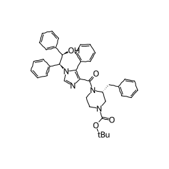 CC(C)(C)OC(=O)N1CCN(C(=O)c2ncn([C@@H](c3ccccc3)[C@H](O)c3ccccc3)c2-c2ccccc2)[C@H](Cc2ccccc2)C1